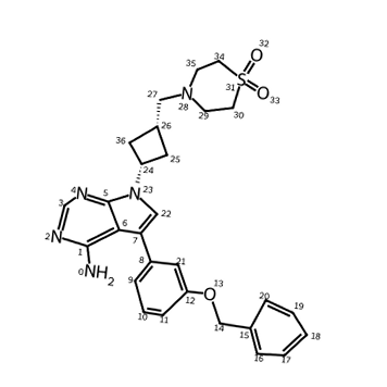 Nc1ncnc2c1c(-c1cccc(OCc3ccccc3)c1)cn2[C@H]1C[C@@H](CN2CCS(=O)(=O)CC2)C1